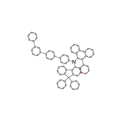 c1ccc(-c2cccc(-c3ccc(-c4ccc(N(c5cccc6c5-c5ccccc5C6(c5ccccc5)c5ccccc5)c5c(-c6ccccc6)c6ccccc6c6ccccc56)cc4)cc3)c2)cc1